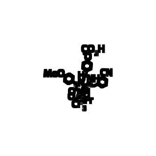 COc1ccc([C@H](NC(=O)[C@H](Cc2cccc(C#N)c2)NC(=O)c2ccc(OCC(=O)O)cc2)C(=O)N[C@H](C(=O)C(F)(F)F)C(C)C)cc1